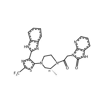 C[C@@H]1CN(c2sc(C(F)(F)F)nc2-c2nc3ccccc3[nH]2)CCN1C(=O)Cn1c(=O)[nH]c2cccnc21